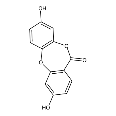 O=C1Oc2cc(O)ccc2Oc2cc(O)ccc21